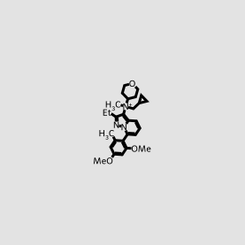 CCc1nn2c(-c3c(C)cc(OC)cc3OC)cccc2c1[N+](C)(CC1CC1)C1CCOCC1